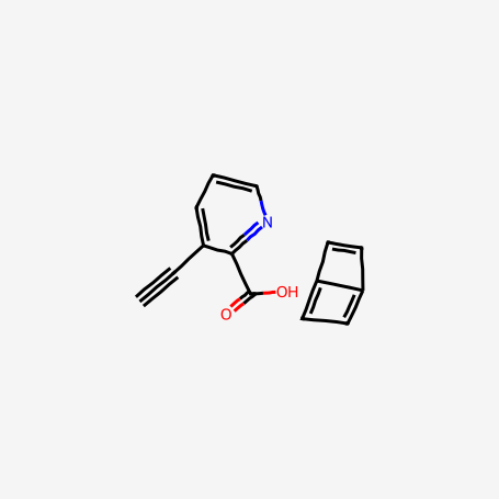 C#Cc1cccnc1C(=O)O.c1cc2ccc1-2